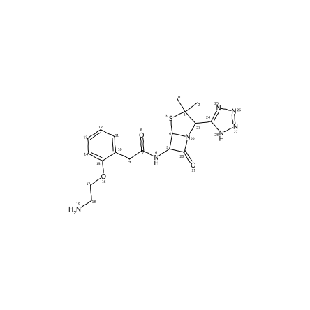 CC1(C)SC2C(NC(=O)Cc3ccccc3OCCN)C(=O)N2C1c1nnn[nH]1